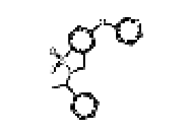 CC(c1ccccc1)N1Cc2cc(Oc3cccnc3)ccc2S1(=O)=O